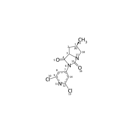 C[C@@H]1CC2C(=O)N(c3cc(Cl)nc(Cl)c3)C(=O)N2C1